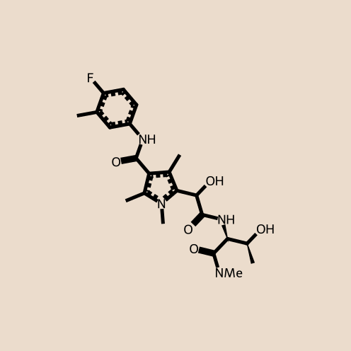 CNC(=O)[C@@H](NC(=O)C(O)c1c(C)c(C(=O)Nc2ccc(F)c(C)c2)c(C)n1C)[C@H](C)O